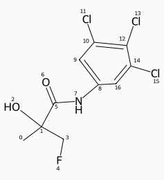 CC(O)(CF)C(=O)Nc1cc(Cl)c(Cl)c(Cl)c1